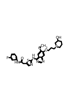 COc1cc2c(Nc3ncc(CC(=O)Nc4cccc(F)c4)s3)ncnc2cc1OCCCN1CCCC(O)C1